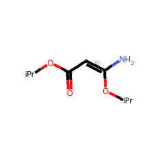 CC(C)OC(=O)/C=C(/N)OC(C)C